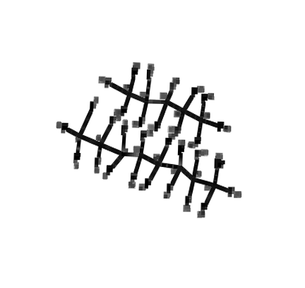 FC(F)(F)C(F)(F)C(F)(F)C(F)(F)C(F)(F)C(F)(F)C(F)(F)C(F)(F)Br.FC(F)(F)C(F)(F)C(F)(F)C(F)(F)C(F)(F)F